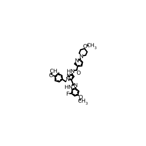 COc1ccc(Cn2nc(NC(=O)c3ccc(N4CCC(OC)CC4)nc3)cc2-c2nc3cc(OC)cc(F)c3[nH]2)cc1